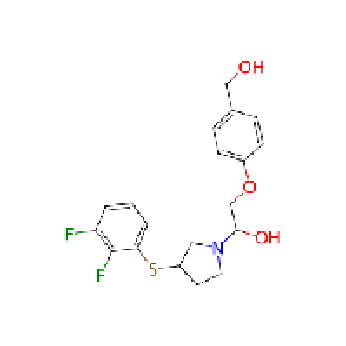 OCc1ccc(OCC(O)N2CCC(Sc3cccc(F)c3F)C2)cc1